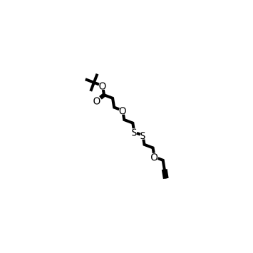 C#CCOCCSSCCOCCC(=O)OC(C)(C)C